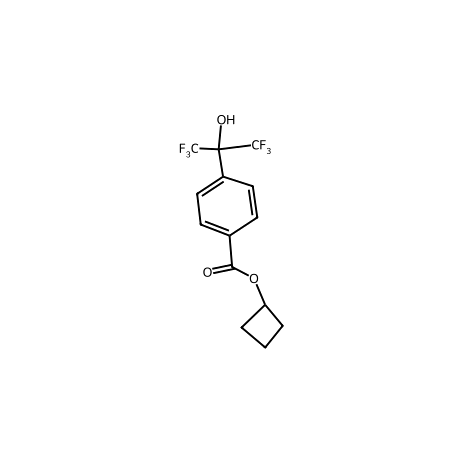 O=C(OC1CCC1)c1ccc(C(O)(C(F)(F)F)C(F)(F)F)cc1